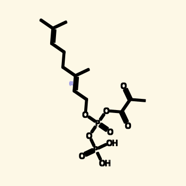 CC(=O)C(=O)OP(=O)(OC/C=C(\C)CCC=C(C)C)OP(=O)(O)O